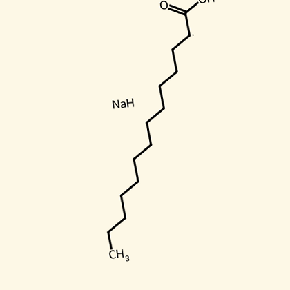 CCCCCCCCCCCC[CH]C(=O)O.[NaH]